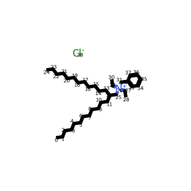 CCCCCCCCCCCCC(CCCCCCCCCCCC)C[N+](CC)(CC)Cc1ccccc1.[Cl-]